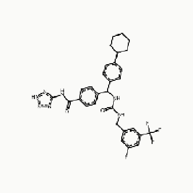 O=C(NCc1cc(F)cc(C(F)(F)F)c1)NC(c1ccc(C(=O)Nc2nn[nH]n2)cc1)c1ccc(C2CCCCC2)cc1